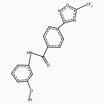 CC(C)Oc1cccc(NC(=O)c2ccc(-c3noc(C(F)(F)F)n3)cc2)c1